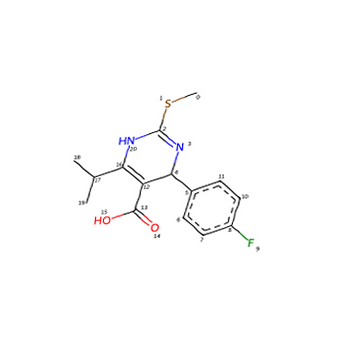 CSC1=NC(c2ccc(F)cc2)C(C(=O)O)=C(C(C)C)N1